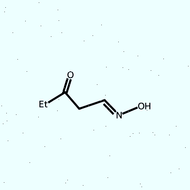 CCC(=O)CC=NO